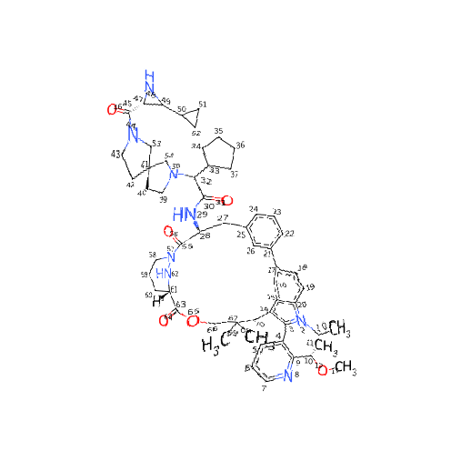 CCn1c(-c2cccnc2[C@H](C)OC)c2c3cc(ccc31)-c1cccc(c1)C[C@H](NC(=O)C(C1CCCC1)N1CC[C@]3(CCN(C(=O)[C@@H]4NC4C4CC4)C3)C1)C(=O)N1CCC[C@H](N1)C(=O)OCC(C)(C)C2